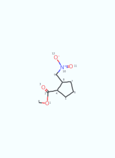 COC(=O)C1CCCC1C[N+](=O)[O-]